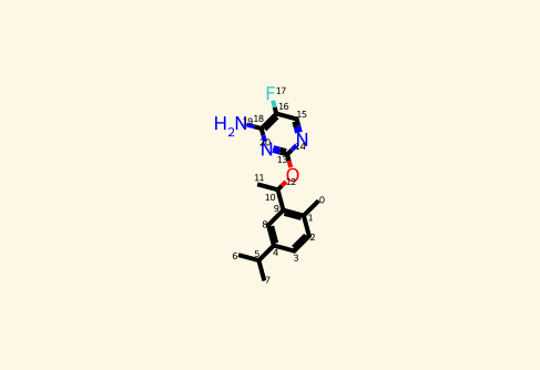 Cc1ccc(C(C)C)cc1C(C)Oc1ncc(F)c(N)n1